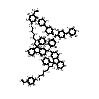 C=Cc1ccc(OCCCCCCC2(c3ccccc3)c3ccccc3-c3ccc(N(c4ccc(N(c5ccc(-c6ccccc6)cc5)c5ccc(-c6ccccc6)cc5)cc4)c4ccc5c(c4)C(CCCCCCOc4ccc(C=C)cc4)(c4ccccc4)c4ccccc4-5)cc32)cc1